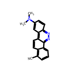 CN(C)c1ccc2nnc3c4cccc(C#N)c4ccc3c2c1